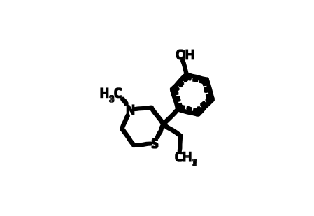 CCC1(c2cccc(O)c2)CN(C)CCS1